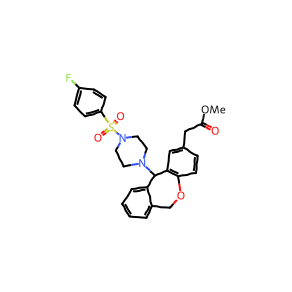 COC(=O)Cc1ccc2c(c1)C(N1CCN(S(=O)(=O)c3ccc(F)cc3)CC1)c1ccccc1CO2